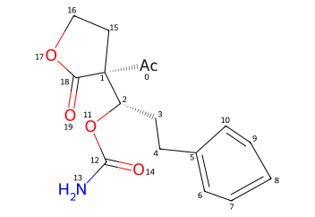 CC(=O)[C@@]1([C@H](CCc2ccccc2)OC(N)=O)CCOC1=O